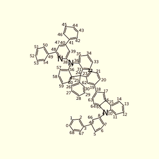 c1ccc(-c2cccc(-n3c4ccccc4c4cc(-c5cccc(C6(c7ccccc7)c7ccccc7N(c7cc(-c8ccccc8)cc(-c8ccccc8)n7)c7ccccc76)c5)ccc43)c2)cc1